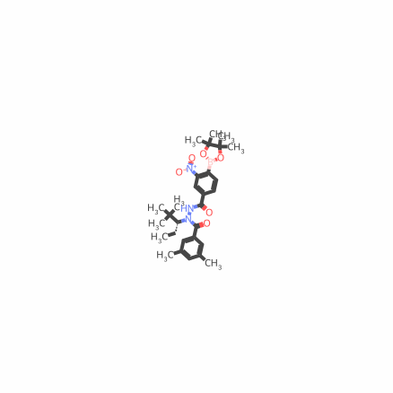 CC[C@@H](N(NC(=O)c1ccc(B2OC(C)(C)C(C)(C)O2)c([N+](=O)[O-])c1)C(=O)c1cc(C)cc(C)c1)C(C)(C)C